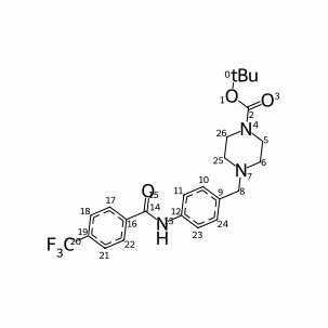 CC(C)(C)OC(=O)N1CCN(Cc2ccc(NC(=O)c3ccc(C(F)(F)F)cc3)cc2)CC1